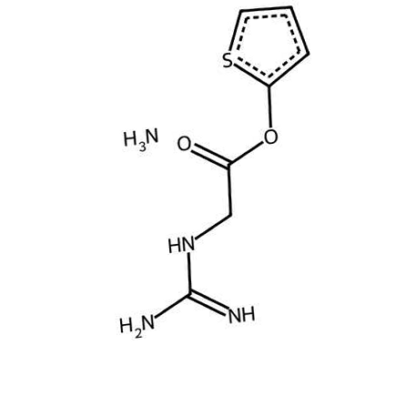 N.N=C(N)NCC(=O)Oc1cccs1